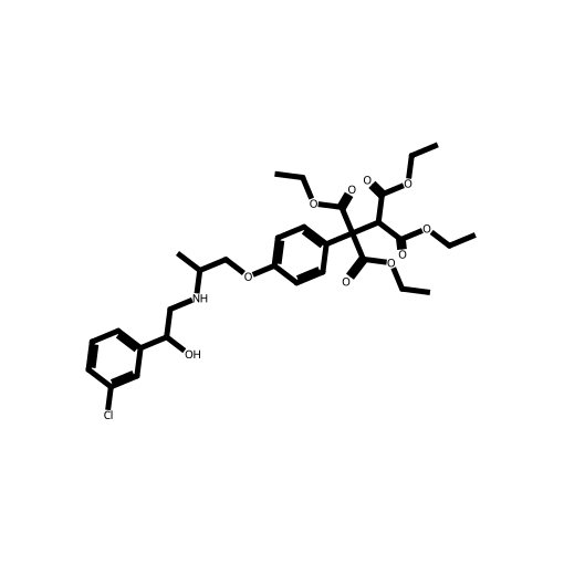 CCOC(=O)C(C(=O)OCC)C(C(=O)OCC)(C(=O)OCC)c1ccc(OCC(C)NCC(O)c2cccc(Cl)c2)cc1